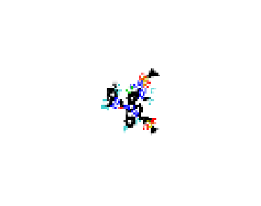 CC(C)(CCc1ccc(-c2ccc(Cl)c3c(NS(=O)(=O)C4CC4)nn(CC(F)F)c23)c([C@H](Cc2cc(F)cc(F)c2)NC(=O)Cn2nc(C(F)(F)F)c3c2C(F)(F)[C@@H]2C[C@H]32)n1)S(=O)(=O)C1CC1